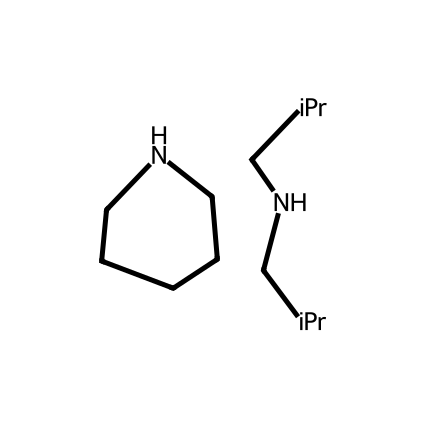 C1CCNCC1.CC(C)CNCC(C)C